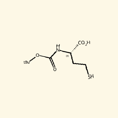 CC(C)(C)OC(=O)N[C@@H](CCS)C(=O)O